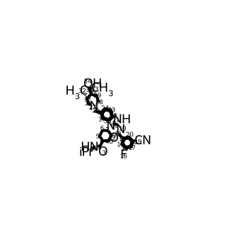 CC(C)NC(=O)C1CCC(n2/c(=N\C(=O)c3cc(F)cc(C#N)c3)[nH]c3ccc(CN4CCC(C(C)(C)O)CC4)cc32)CC1